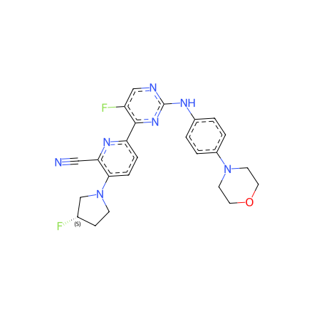 N#Cc1nc(-c2nc(Nc3ccc(N4CCOCC4)cc3)ncc2F)ccc1N1CC[C@H](F)C1